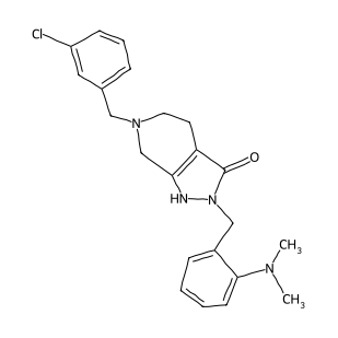 CN(C)c1ccccc1Cn1[nH]c2c(c1=O)CCN(Cc1cccc(Cl)c1)C2